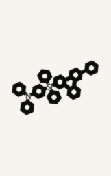 c1ccc(-c2ccc3c4ccc([Si](c5ccccc5)(c5ccccc5)c5ccc(N(c6ccccc6)c6ccccc6)cc5)cc4c4ccccc4c3c2)cc1